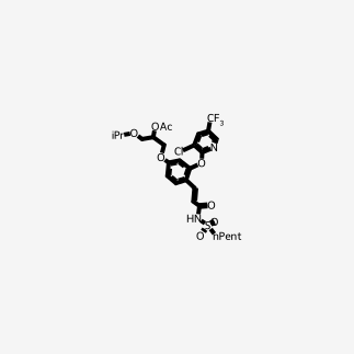 CCCCCS(=O)(=O)NC(=O)C=Cc1ccc(OCC(COC(C)C)OC(C)=O)cc1Oc1ncc(C(F)(F)F)cc1Cl